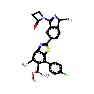 Cc1cc2nc(-c3ccc4c(c3)C(N3CCC3=O)=NC4C)sc2c(-c2ccc(Cl)cc2)c1[C@H](OC(C)(C)C)C(=O)O